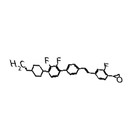 C=CC1CCC(c2ccc(-c3ccc(/C=C/c4ccc(C5CO5)c(F)c4)cc3)c(F)c2F)CC1